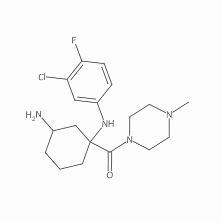 CN1CCN(C(=O)C2(Nc3ccc(F)c(Cl)c3)CCCC(N)C2)CC1